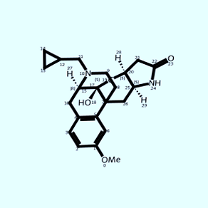 COc1ccc2c(c1)C13CCN(CC4CC4)[C@H](C2)[C@]1(O)C[C@H]1CC(=O)N[C@H]1C3